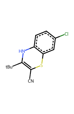 CC(C)(C)C1=C(C#N)Sc2cc(Cl)ccc2N1